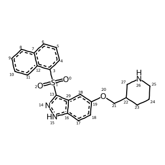 O=S(=O)(c1cccc2ccccc12)c1n[nH]c2ccc(OCC3CCCNC3)cc12